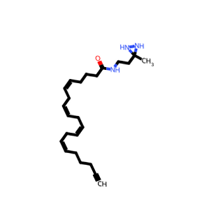 C#CCCC/C=C\C/C=C\C/C=C\C/C=C\CCCC(=O)NCCC1(C)NN1